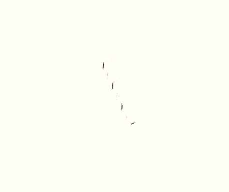 CC(C)=CCC/C(C)=C/CC/C(C)=C/CCC(=O)C(F)(F)F